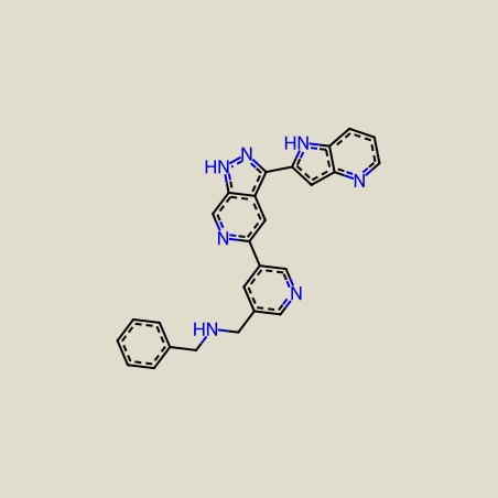 c1ccc(CNCc2cncc(-c3cc4c(-c5cc6ncccc6[nH]5)n[nH]c4cn3)c2)cc1